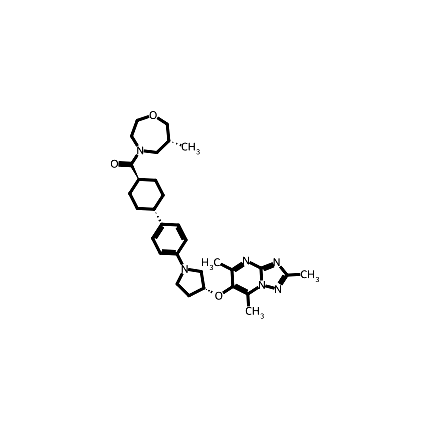 Cc1nc2nc(C)c(O[C@@H]3CCN(c4ccc([C@H]5CC[C@H](C(=O)N6CCOC[C@H](C)C6)CC5)cc4)C3)c(C)n2n1